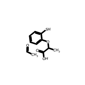 CC(Oc1ccccc1S)C(=O)O.CC=O